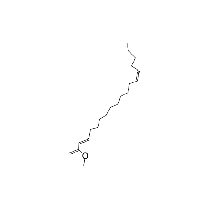 C=C(/C=C/CCCCCCCCC/C=C\CCCC)OC